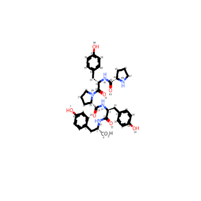 O=C(O)[C@H](Cc1ccc(O)cc1)NC(=O)[C@H](Cc1ccc(O)cc1)NC(=O)[C@@H]1CCCN1C(=O)[C@H](Cc1ccc(O)cc1)NC(=O)[C@@H]1CCCN1